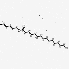 C/C=C/C=C/COC(=O)CCCCCCCCCCCCCCC